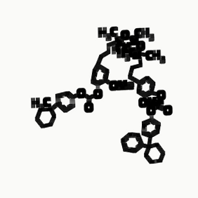 COc1cc(CCC[Si](C)(C)O[Si](C)(C)O[Si](C)(C)CCCc2ccc(OC(=O)Oc3ccc(C4(c5ccccc5)CCCCC4)cc3)c(OC)c2)ccc1OC(=O)Oc1ccc(C2(C)CCCCC2)cc1